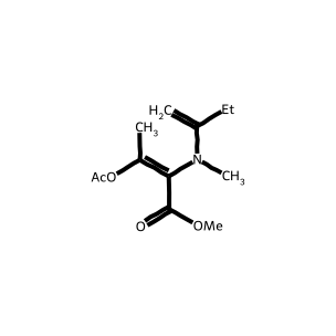 C=C(CC)N(C)/C(C(=O)OC)=C(\C)OC(C)=O